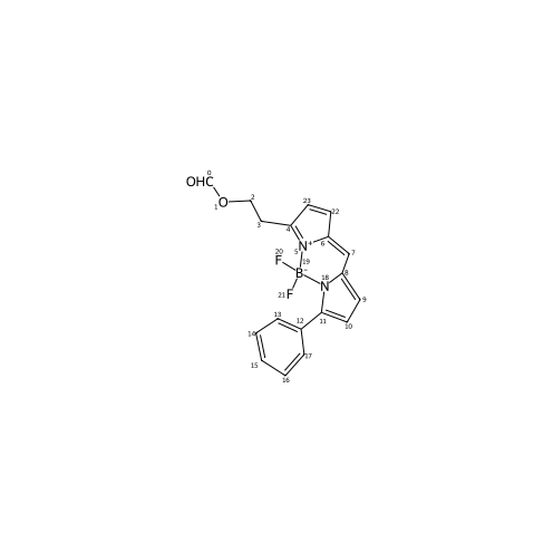 O=COCCC1=[N+]2C(=Cc3ccc(-c4ccccc4)n3[B-]2(F)F)C=C1